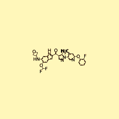 Cc1cc(Oc2ccccc2F)ncc1-n1ncc(C(=O)c2cc3cc(OC(F)F)c(NC4COC4)cc3[nH]2)c1N